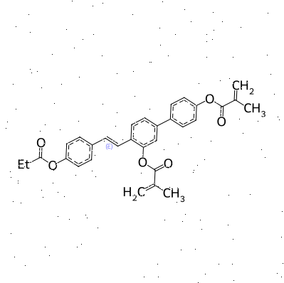 C=C(C)C(=O)Oc1ccc(-c2ccc(/C=C/c3ccc(OC(=O)CC)cc3)c(OC(=O)C(=C)C)c2)cc1